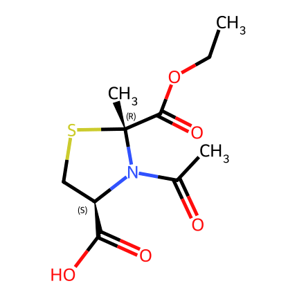 CCOC(=O)[C@@]1(C)SC[C@H](C(=O)O)N1C(C)=O